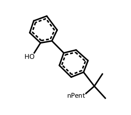 CCCCCC(C)(C)c1ccc(-c2ccccc2O)cc1